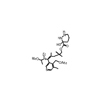 CCN(/C(=C(\C)CC(C)(C)COC(=O)C1(O)CCCNN1)c1cncc(C)c1COC)C(C)OC